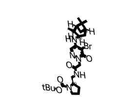 C[C@@H]1[C@H]2C[C@@H](C[C@H]1Nc1cnn(CC(=O)NC[C@H]3CCCN3C(=O)OC(C)(C)C)c(=O)c1Br)C2(C)C